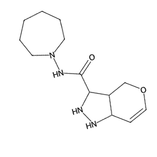 O=C(NN1CCCCCC1)C1NNC2C=COCC21